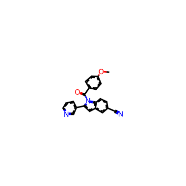 COc1ccc(C(=O)n2c(-c3cccnc3)cc3cc(C#N)ccc32)cc1